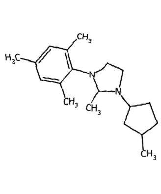 Cc1cc(C)c(N2CCN(C3CCC(C)C3)C2C)c(C)c1